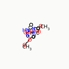 COCCCCOC(c1ccccc1)[C@@H]1CCN(C(=O)C(=O)N[C@@H](CC2CCCCC2)[C@@H](O)CNCc2cc(OC)cc(OC)c2)C1